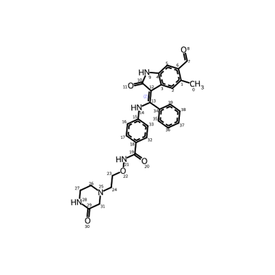 Cc1cc2c(cc1C=O)NC(=O)/C2=C(\Nc1ccc(C(=O)NOCCN2CCNC(=O)C2)cc1)c1ccccc1